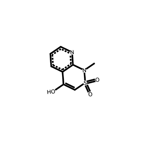 CN1c2ncccc2C(O)=CS1(=O)=O